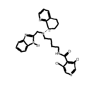 CCn1c(CN(CCCCNC(=O)c2c(Cl)cncc2Cl)[C@H]2CCCc3cccnc32)nc2ccccc21